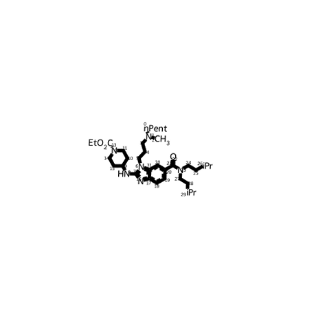 CCCCCN(C)CCCn1c(NC2CCN(C(=O)OCC)CC2)nc2ccc(C(=O)N(CCC(C)C)CCC(C)C)cc21